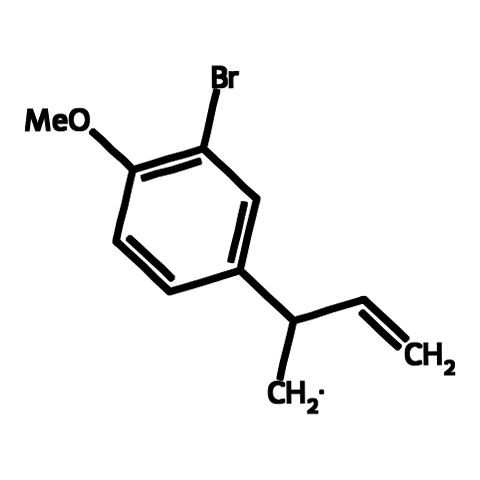 [CH2]C(C=C)c1ccc(OC)c(Br)c1